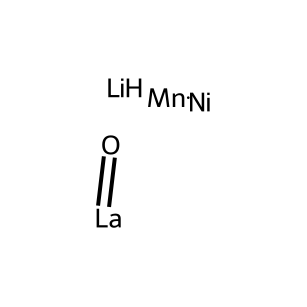 [LiH].[Mn].[Ni].[O]=[La]